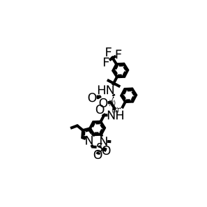 CCc1cn2c3c(cc(C(=O)N[C@@H](Cc4ccccc4)[C@@H](CNC(C)(C)c4cccc(C(F)(F)F)c4)OC=O)cc13)N(C)S(=O)(=O)C2